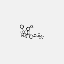 COc1ccc(-c2c(-c3ccccc3)oc3ncnc(N[C@H]4CCC[C@H](OCC(=O)OC(C)(C)C)C4)c23)cc1